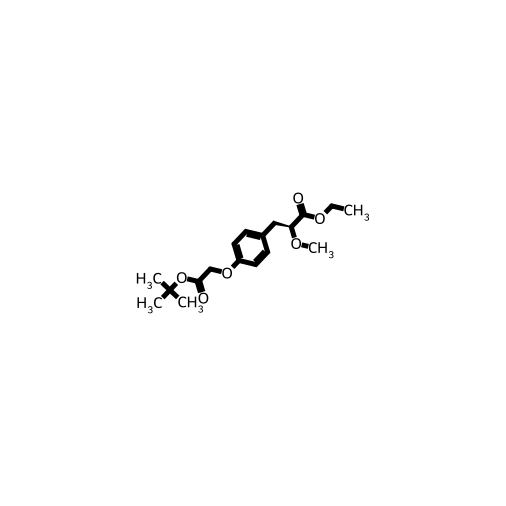 CCOC(=O)[C@H](Cc1ccc(OCC(=O)OC(C)(C)C)cc1)OC